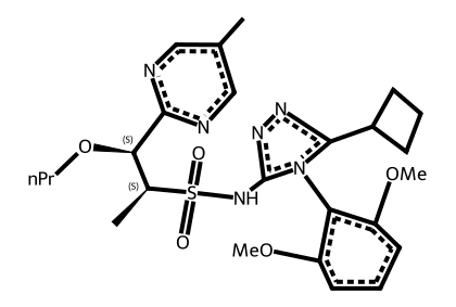 CCCO[C@@H](c1ncc(C)cn1)[C@H](C)S(=O)(=O)Nc1nnc(C2CCC2)n1-c1c(OC)cccc1OC